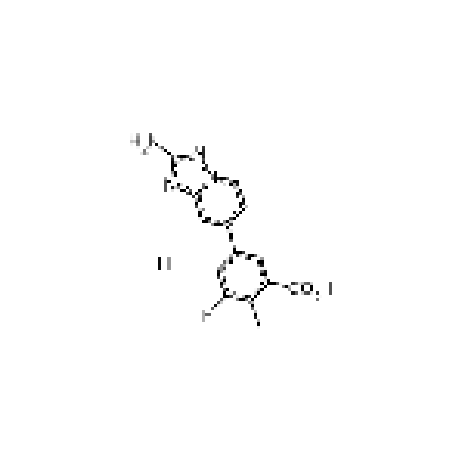 Cc1c(F)cc(-c2ccn3nc(N)nc3c2)cc1C(=O)O.[Li]